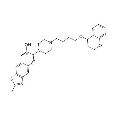 Cc1nc2cc(OC([C@@H](C)O)N3CCN(CCCCOC4CCOc5ccccc54)CC3)ccc2s1